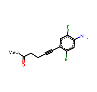 COC(=O)CCC#Cc1cc(F)c(N)cc1Br